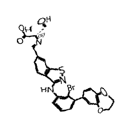 O=C(O)[C@H](CO)N=Cc1ccc2c(Nc3cccc(-c4ccc5c(c4)OCCO5)c3Br)nsc2c1